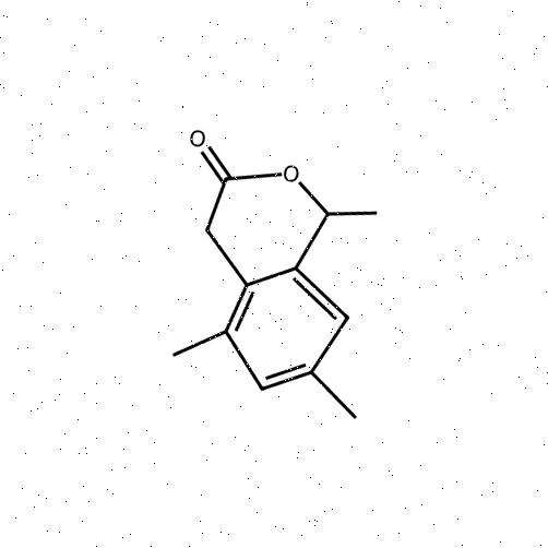 Cc1cc(C)c2c(c1)C(C)OC(=O)C2